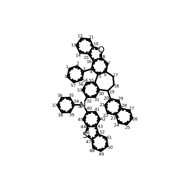 c1ccc(-c2c3c(cc4oc5ccccc5c24)CCC(c2ccc4ccccc4c2)c2cc(N(c4ccccc4)c4ccc5c(c4)sc4ccccc45)ccc2-3)cc1